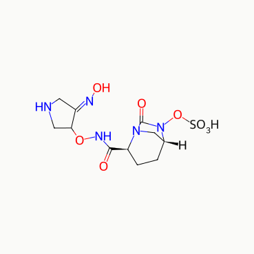 O=C(NOC1CNC/C1=N\O)[C@@H]1CC[C@@H]2CN1C(=O)N2OS(=O)(=O)O